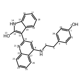 Oc1ccc(CCNc2cc(-c3c(O)[nH]c4ccccc34)nc3ccccc23)cc1